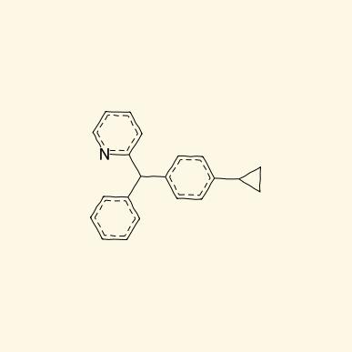 c1ccc(C(c2ccc(C3CC3)cc2)c2ccccn2)cc1